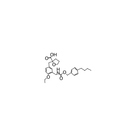 CCCCc1ccc(COC(=O)NCc2cc(CC3(C(=O)O)CCCO3)ccc2OCC)cc1